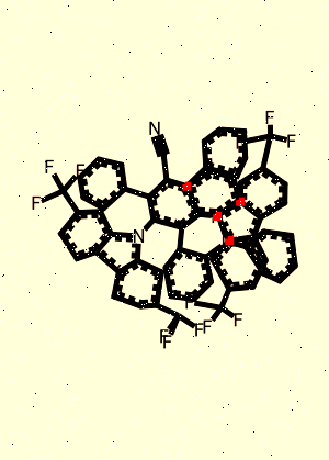 N#Cc1c(-c2ccccc2)c(-n2c3cc(C(F)(F)F)ccc3c3ccc(C(F)(F)F)cc32)c(-c2ccccc2N(c2ccccc2)c2ccccc2)c(-n2c3cc(C(F)(F)F)ccc3c3ccc(C(F)(F)F)cc32)c1-c1ccccc1